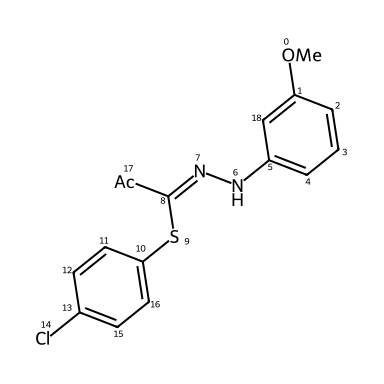 COc1cccc(NN=C(Sc2ccc(Cl)cc2)C(C)=O)c1